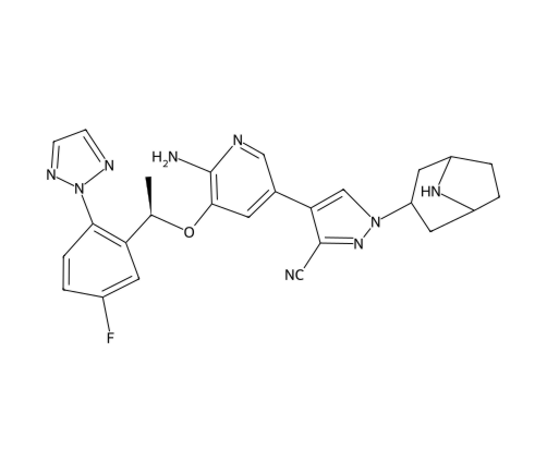 C[C@@H](Oc1cc(-c2cn(C3CC4CCC(C3)N4)nc2C#N)cnc1N)c1cc(F)ccc1-n1nccn1